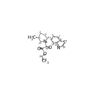 C[C@H]1CC[C@H](c2ccc3scnc3c2)N(C(=O)C(=O)OCC(F)(F)F)C1